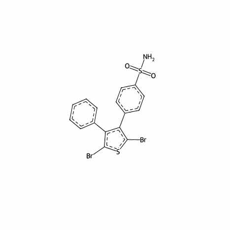 NS(=O)(=O)c1ccc(-c2c(Br)sc(Br)c2-c2ccccc2)cc1